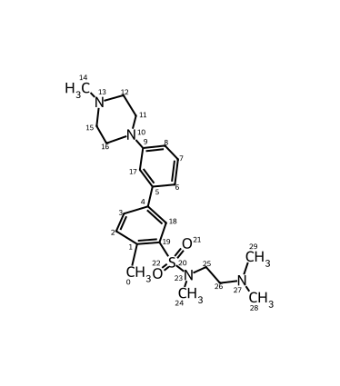 Cc1ccc(-c2cccc(N3CCN(C)CC3)c2)cc1S(=O)(=O)N(C)CCN(C)C